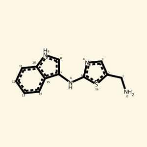 NCc1cnc(Nc2c[nH]c3ccccc23)s1